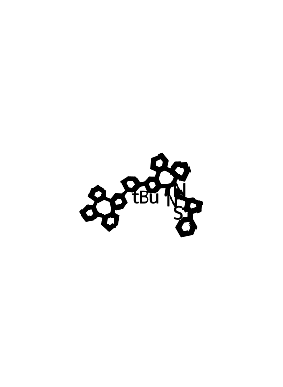 CC(C)(C)c1c(-c2ccc3c(c2)-c2ccccc2-c2ccccc2-c2ccccc2-3)cccc1-c1ccc2c(c1)-c1ccccc1-c1ccccc1-c1nc(-c3cccc4c3sc3ccccc34)ncc1-2